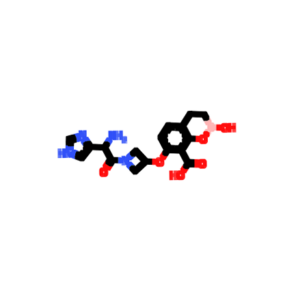 NC(C(=O)N1CC(Oc2ccc3c(c2C(=O)O)OB(O)CC3)C1)c1c[nH]cn1